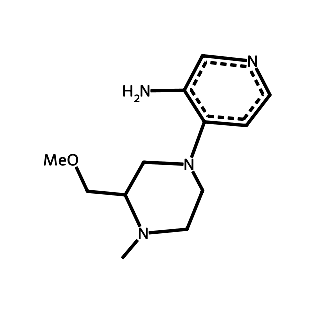 COCC1CN(c2ccncc2N)CCN1C